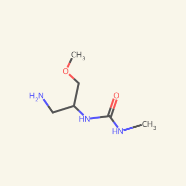 CNC(=O)NC(CN)COC